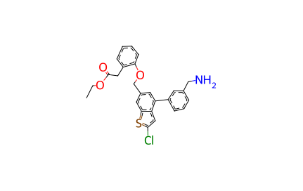 CCOC(=O)Cc1ccccc1OCc1cc(-c2cccc(CN)c2)c2cc(Cl)sc2c1